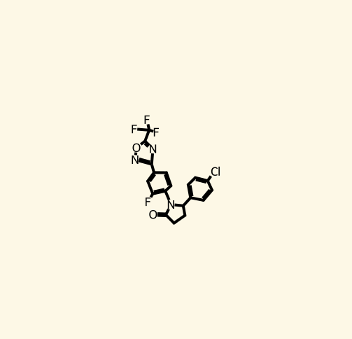 O=C1CCC(c2ccc(Cl)cc2)N1c1ccc(-c2noc(C(F)(F)F)n2)cc1F